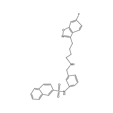 O=S(=O)(Nc1cccc(CNCCCCc2noc3cc(F)ccc23)c1)c1ccc2ccccc2c1